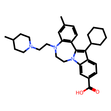 Cc1ccc2c(c1)N(CCN1CCC(C)CC1)CCn1c-2c(C2CCCCC2)c2ccc(C(=O)O)cc21